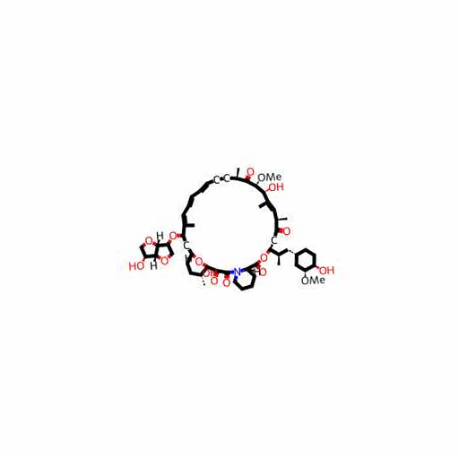 CO[C@@H]1C[C@H](C[C@@H](C)[C@@H]2CC(=O)[C@H](C)/C=C(\C)[C@@H](O)[C@@H](OC)C(=O)[C@H](C)CC/C=C/C=C/C=C(\C)C(OC3CO[C@H]4[C@@H]3OC[C@@H]4O)C[C@@H]3CC[C@@H](C)[C@@](O)(O3)C(=O)C(=O)N3CCCC[C@H]3C(=O)O2)CC[C@H]1O